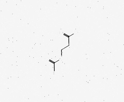 CC(=O)OCCC([O])=O